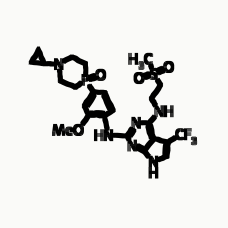 COc1cc(P2(=O)CCN(C3CC3)CC2)ccc1Nc1nc(NCCS(C)(=O)=O)c2c(C(F)(F)F)c[nH]c2n1